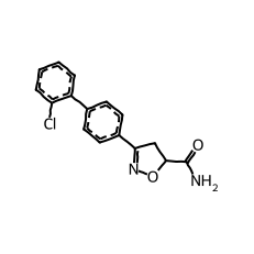 NC(=O)C1CC(c2ccc(-c3ccccc3Cl)cc2)=NO1